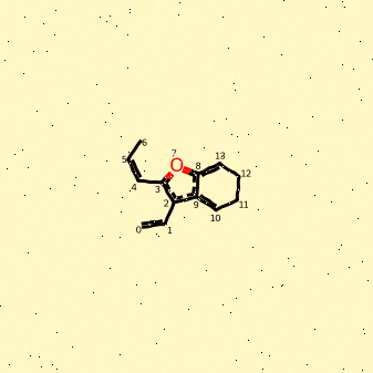 C=Cc1c(/C=C\C)oc2c1=CCCC=2